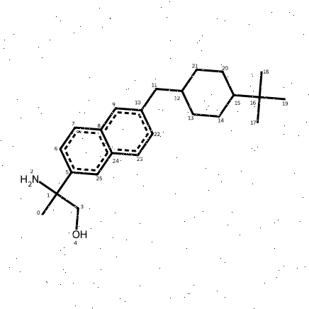 CC(N)(CO)c1ccc2cc(CC3CCC(C(C)(C)C)CC3)ccc2c1